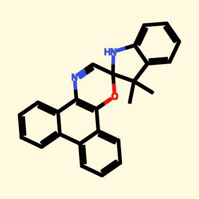 CC1(C)c2ccccc2NC12C=Nc1c(c3ccccc3c3ccccc13)O2